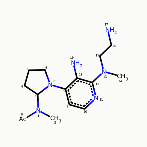 CC(=O)N(C)C1CCCN1c1ccnc(N(C)CCN)c1N